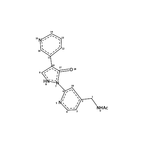 CC(=O)NCc1ccnc(-n2[nH]cc(-c3cccnc3)c2=O)c1